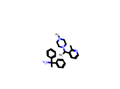 CC(=O)N1CCN(C(C#N)c2cccnc2C)CC1.CC(N)(c1ccccc1)c1ccccc1